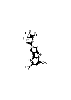 Cc1cc(C)n2nc3c(c2n1)CN(C(=O)OC(C)(C)C)C3